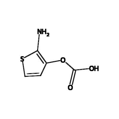 Nc1sccc1OC(=O)O